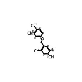 N#Cc1cc(Cl)c(COc2ccc(Cl)c(Cl)c2)cc1F